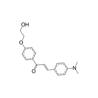 CN(C)c1ccc(C=CC(=O)c2ccc(OCCO)cc2)cc1